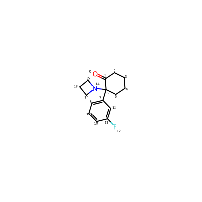 O=C1CCCCC1(c1cccc(F)c1)N1CCC1